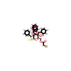 O=C(CBr)OC[C@H]1O[C@@H](S)[C@](Cc2ccccc2)(Oc2ccccc2)[C@](O)(Cc2ccccc2)[C@@]1(O)Cc1ccccc1